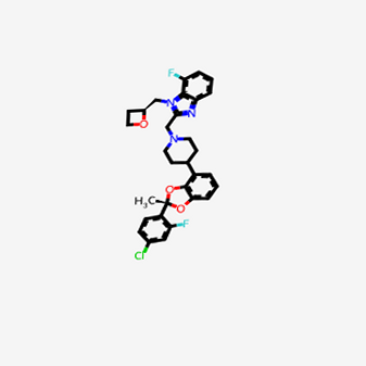 C[C@]1(c2ccc(Cl)cc2F)Oc2cccc(C3CCN(Cc4nc5cccc(F)c5n4C[C@@H]4CCO4)CC3)c2O1